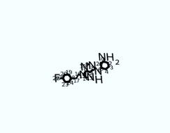 Nc1cccc(Nc2ncnc3c2ncn3CCc2ccc(F)cc2)c1